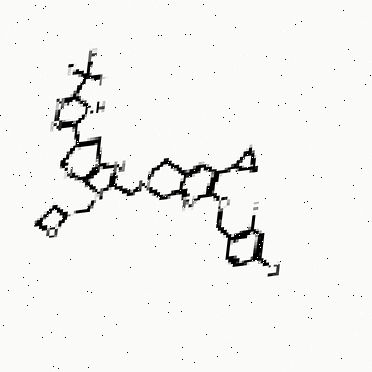 Fc1cc(Cl)ccc1COc1nc2c(cc1C1CC1)CCN(Cc1nc3cc(-c4nnc(C(F)(F)F)[nH]4)cnc3n1C[C@@H]1CCO1)C2